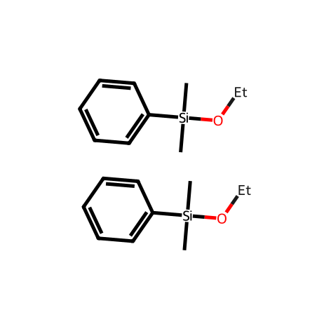 CCO[Si](C)(C)c1ccccc1.CCO[Si](C)(C)c1ccccc1